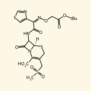 CC(C)(C)OC(=O)CO/N=C(\C(=O)NC1C(=O)N2C(C(=O)O)=C(CS(C)(=O)=O)CS[C@H]12)c1cscn1